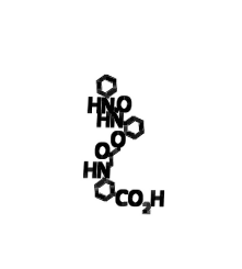 O=C(CNc1cccc(C(=O)O)c1)COc1ccccc1NC(=O)Nc1ccccc1